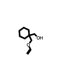 C=COCC1(CO)CCCCC1